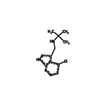 CC(C)(C)NCc1c[nH]c2nccc(Cl)c12